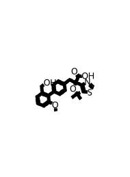 COc1cccc(CO)c1-c1ccc(CC(OC(C)(C)C)(C(=O)O)c2cscn2)cc1